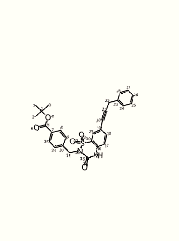 CC(C)(C)OC(=O)c1ccc(CN2C(=O)Nc3ccc(C#CCc4ccccc4)cc3S2(=O)=O)cc1